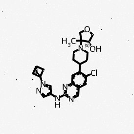 CC1(N2CCC(c3cc4nc(Nc5cnn(C67CC(C6)C7)c5)ncc4cc3Cl)CC2)COC[C@H]1O